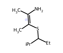 CCC(S/C(C)=C(/C)N)C(C)C